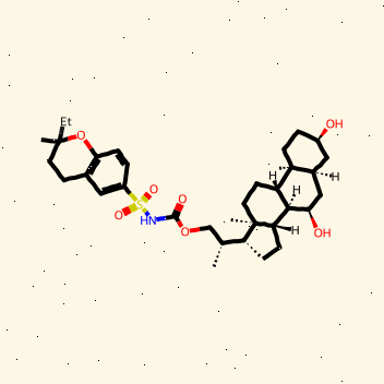 CCC1(C)CCc2cc(S(=O)(=O)NC(=O)OC[C@@H](C)[C@H]3CC[C@H]4[C@@H]5[C@H](O)C[C@@H]6C[C@H](O)CC[C@]6(C)[C@H]5CC[C@]34C)ccc2O1